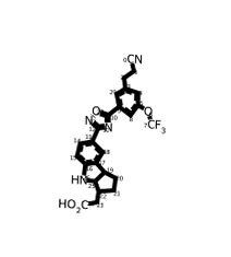 N#CCCc1cc(OC(F)(F)F)cc(-c2nc(-c3ccc4c(c3)C3CCC(CC(=O)O)C3N4)no2)c1